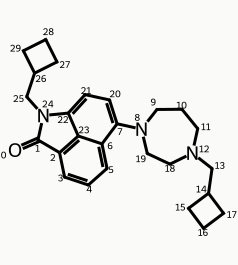 O=C1c2cccc3c(N4CCCN(CC5CCC5)CC4)ccc(c23)N1CC1CCC1